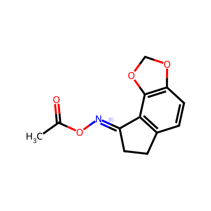 CC(=O)O/N=C1\CCc2ccc3c(c21)OCO3